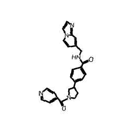 O=C(NCc1ccn2ccnc2c1)c1ccc(C2CCN(C(=O)c3ccncc3)C2)cc1